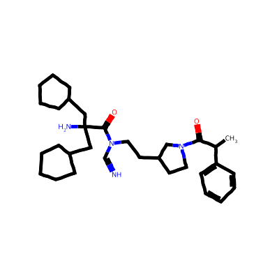 CC(C(=O)N1CCC(CCN(C=N)C(=O)C(N)(CC2CCCCC2)CC2CCCCC2)C1)c1ccccc1